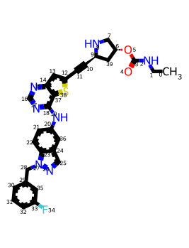 CCNC(=O)O[C@H]1CN[C@H](C#Cc2cc3ncnc(Nc4ccc5c(cnn5Cc5cccc(F)c5)c4)c3s2)C1